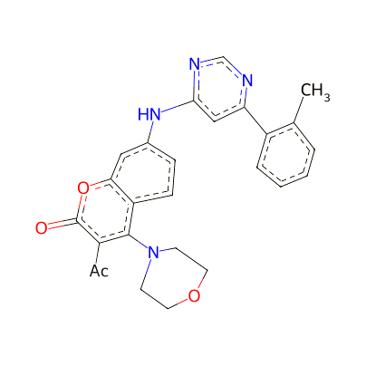 CC(=O)c1c(N2CCOCC2)c2ccc(Nc3cc(-c4ccccc4C)ncn3)cc2oc1=O